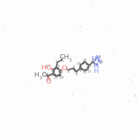 CCCc1c(OCC=Cc2ccc(-c3nnn[nH]3)cc2)ccc(C(C)=O)c1O